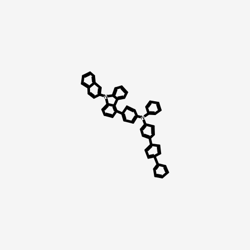 c1ccc(-c2ccc(-c3ccc(N(c4ccccc4)c4ccc(-c5cccc6c5c5ccccc5n6-c5ccc6ccccc6c5)cc4)cc3)cc2)cc1